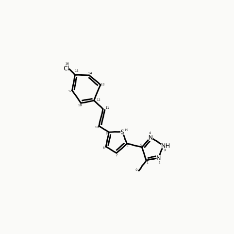 Cc1n[nH]nc1-c1ccc(/C=C/c2ccc(Cl)cc2)s1